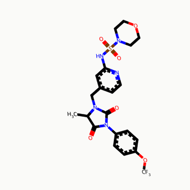 CC1C(=O)N(c2ccc(OC(F)(F)F)cc2)C(=O)N1Cc1ccnc(NS(=O)(=O)N2CCOCC2)c1